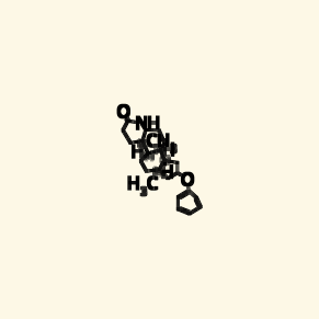 C[C@]12CC[C@@H]3[C@@H](CCC4NC(=O)CC[C@@]43C)[C@@H]1CC(Oc1ccccc1)C2